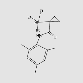 CC[PH](CC)(CC)C1(C(=O)Nc2c(C)cc(C)cc2C)CC1